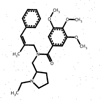 CCN1CCCC1CN(CC(C)=Cc1ccccc1)C(=O)c1cc(OC)c(OC)c(OC)c1